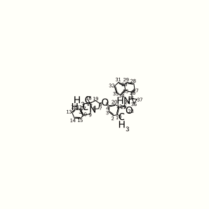 Cc1ccc(OC2CN(Cc3ccccc3)C(C)(C)C2)cc1C(=O)NC1(c2cccc3ccccc23)CC1